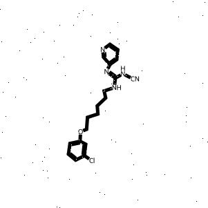 N#CN/C(=N\c1cccnc1)NCCCCCCOc1cccc(Cl)c1